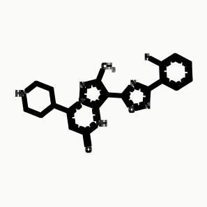 Cc1nn2c(C3CCNCC3)cc(=O)[nH]c2c1-c1nc(-c2ccccc2F)no1